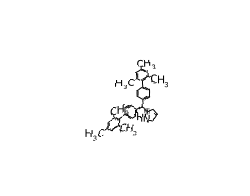 Cc1cc(C)c(-c2ccc(C(c3ccc(-c4c(C)cc(C)cc4C)cc3)[C@H]3CCCN3)cc2)c(C)c1